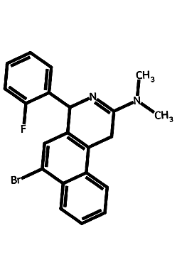 CN(C)C1=NC(c2ccccc2F)c2cc(Br)c3ccccc3c2C1